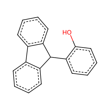 Oc1ccccc1C1c2ccccc2-c2ccccc21